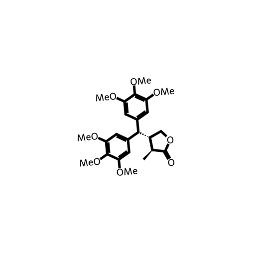 COc1cc(C(c2cc(OC)c(OC)c(OC)c2)[C@@H]2COC(=O)[C@H]2C)cc(OC)c1OC